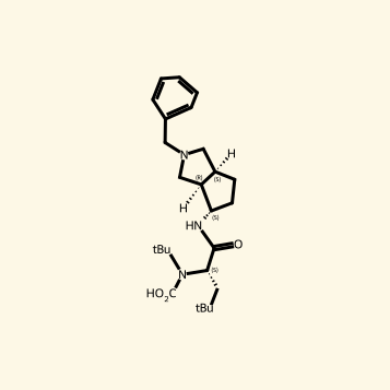 CC(C)(C)C[C@@H](C(=O)N[C@H]1CC[C@@H]2CN(Cc3ccccc3)C[C@@H]21)N(C(=O)O)C(C)(C)C